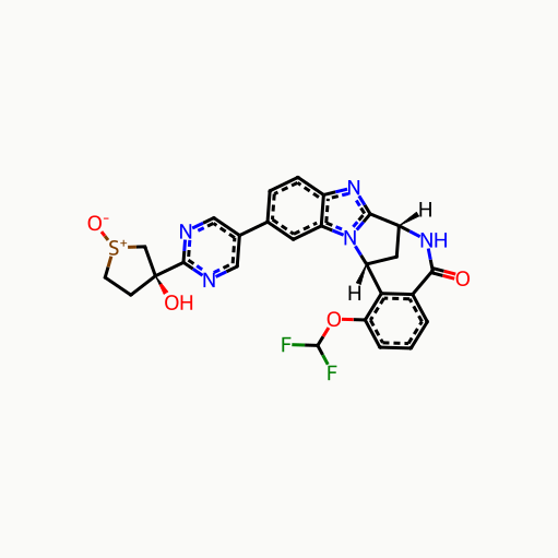 O=C1N[C@@H]2C[C@H](c3c(OC(F)F)cccc31)n1c2nc2ccc(-c3cnc([C@]4(O)CC[S+]([O-])C4)nc3)cc21